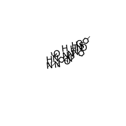 C=CC(=O)Nc1cc(Nc2nccc(Nc3ccccc3NS(=O)(=O)c3ccc(C)cc3)n2)c(OC)cc1N(C)CCN(C)C